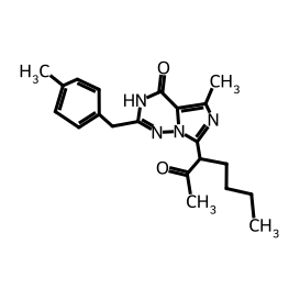 CCCCC(C(C)=O)c1nc(C)c2c(=O)[nH]c(Cc3ccc(C)cc3)nn12